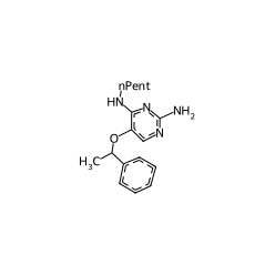 CCCCCNc1nc(N)ncc1OC(C)c1ccccc1